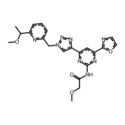 COCC(=O)Nc1nc(-c2cn(Cc3cccc(C(C)OC)n3)nn2)cc(-c2ncco2)n1